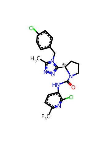 Cc1nnc([C@H]2CCCN2C(=O)Nc2ccc(C(F)(F)F)nc2Cl)n1Cc1ccc(Cl)cc1